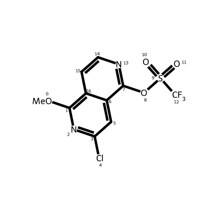 COc1nc(Cl)cc2c(OS(=O)(=O)C(F)(F)F)nccc12